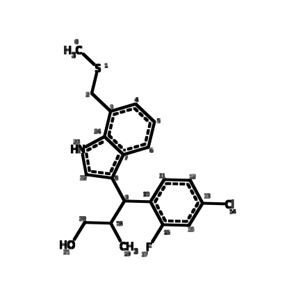 CSCc1cccc2c(C(c3ccc(Cl)cc3F)C(C)CO)c[nH]c12